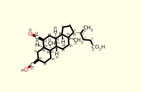 CC(CCC(=O)O)[C@H]1CC[C@H]2[C@@H]3CC(=C=O)[C@@H]4CC(=C=O)CC[C@]4(C)[C@H]3CC[C@]12C